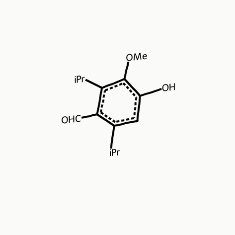 COc1c(O)cc(C(C)C)c(C=O)c1C(C)C